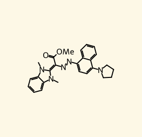 COC(=O)C(/N=N/c1ccc(N2CCCC2)c2ccccc12)=C1N(C)c2ccccc2N1C